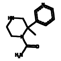 CC1(c2cccnc2)CNCCN1C(N)=O